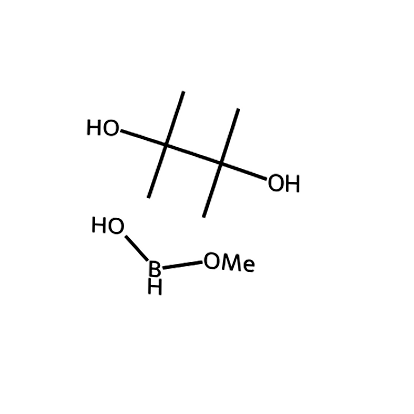 CC(C)(O)C(C)(C)O.COBO